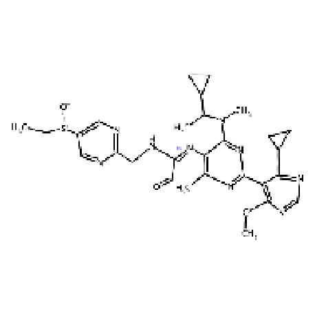 CC[S+]([O-])c1cnc(CN/C(C=O)=N/c2c(C)nc(-c3c(OC)ncnc3C3CC3)nc2N(C)C(C)C2CC2)nc1